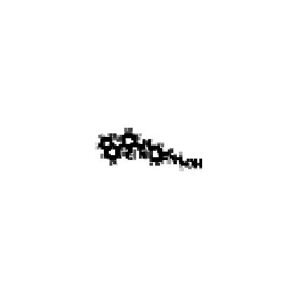 OCCNCc1ccn2nc(-c3cccc(-c4cccc5c4CCC5)c3Cl)nc2c1